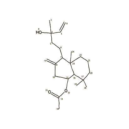 C=CC(C)(O)CCC1C(=C)CC(OC(C)=O)C2C(C)(C)CCCC12C